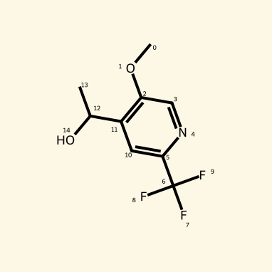 COc1cnc(C(F)(F)F)cc1C(C)O